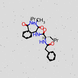 CC(C)C[C@H](NC(=O)Cc1ccccc1)C(=O)NC1C(=O)N(C)N(C(C)C)C(=O)c2ccccc21